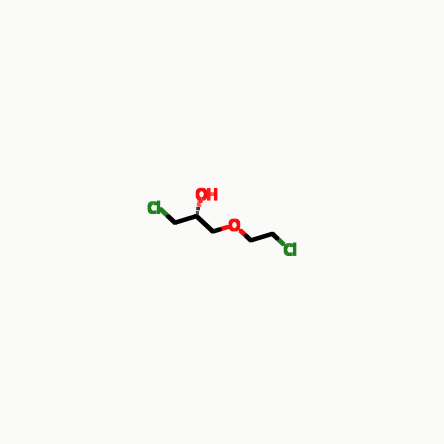 O[C@@H](CCl)COCCCl